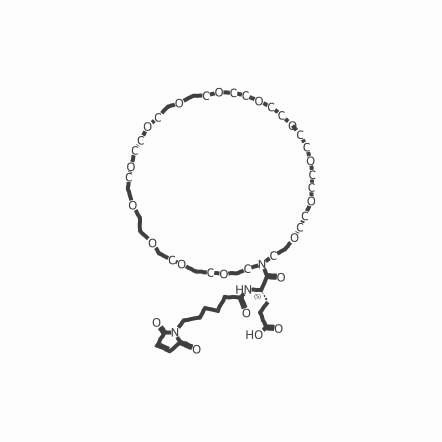 O=C(O)CC[C@H](NC(=O)CCCCCN1C(=O)C=CC1=O)C(=O)N1CCOCCOCCOCCOCCOCCOCCOCCOCCOCCOCCOCCOCCOCC1